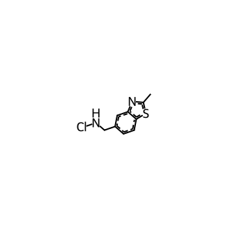 Cc1nc2cc(CNCl)ccc2s1